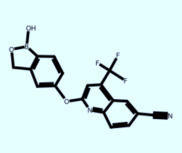 N#Cc1ccc2nc(Oc3ccc4c(c3)COB4O)cc(C(F)(F)F)c2c1